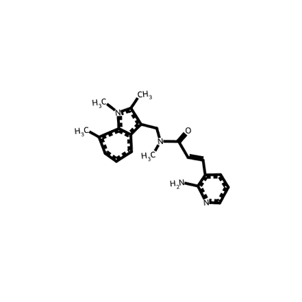 Cc1cccc2c(CN(C)C(=O)/C=C/c3cccnc3N)c(C)n(C)c12